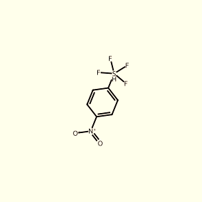 O=[N+]([O-])c1ccc([SH](F)(F)(F)F)cc1